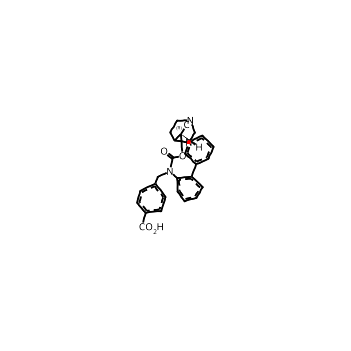 O=C(O)c1ccc(CN(C(=O)O[C@H]2CN3CCC2CC3)c2ccccc2-c2cccnc2)cc1